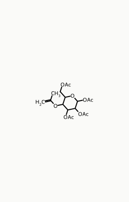 C=C(C)OC1C(COC(C)=O)OC(OC(C)=O)C(OC(C)=O)C1OC(C)=O